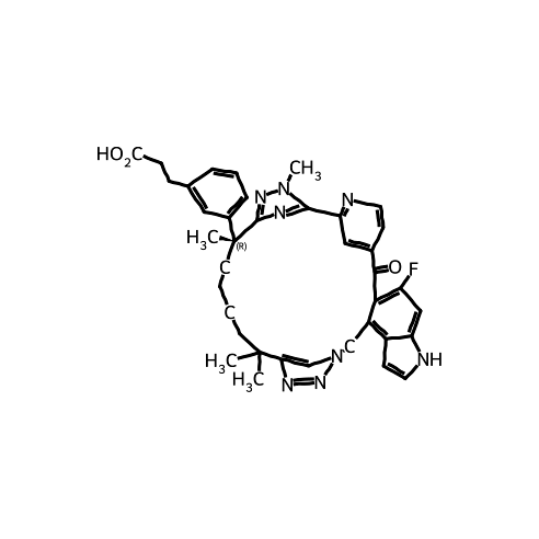 Cn1nc2nc1-c1cc(ccn1)C(=O)c1c(F)cc3[nH]ccc3c1Cn1cc(nn1)C(C)(C)CCCC[C@]2(C)c1cccc(CCC(=O)O)c1